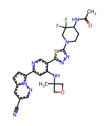 CC(=O)NC1CCN(c2nnc(-c3cnc(-c4ccc5cc(C#N)cnn45)cc3NC3(C)COC3)s2)CC1(F)F